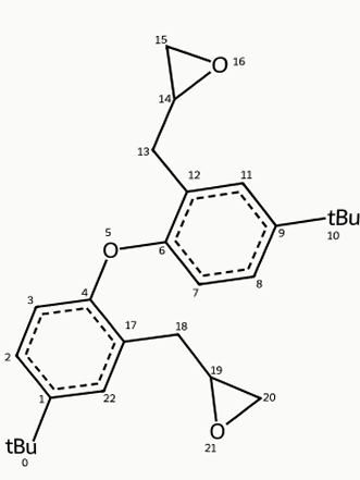 CC(C)(C)c1ccc(Oc2ccc(C(C)(C)C)cc2CC2CO2)c(CC2CO2)c1